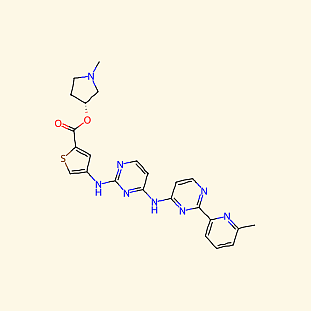 Cc1cccc(-c2nccc(Nc3ccnc(Nc4csc(C(=O)O[C@@H]5CCN(C)C5)c4)n3)n2)n1